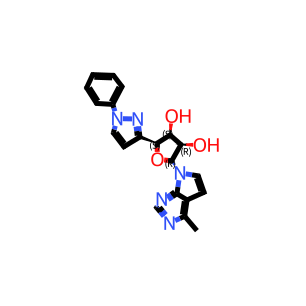 Cc1ncnc2c1ccn2[C@@H]1O[C@@H](c2ccn(-c3ccccc3)n2)[C@@H](O)[C@H]1O